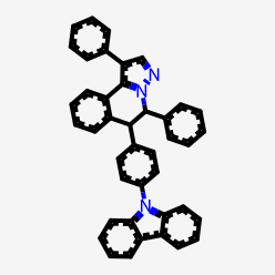 c1ccc(-c2cnn3c2-c2ccccc2C(c2ccc(-n4c5ccccc5c5ccccc54)cc2)C3c2ccccc2)cc1